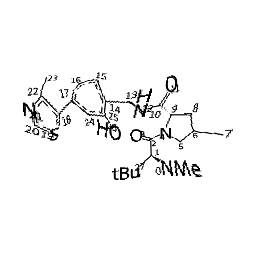 CN[C@H](C(=O)N1CC(C)C[C@H]1C(=O)NCc1ccc(-c2scnc2C)cc1O)C(C)(C)C